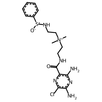 C[N+](C)(CCNC(=O)c1nc(Cl)c(N)nc1N)CCN[S+]([O-])c1ccccc1